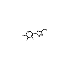 Cc1ccc(-n2cc(CF)nn2)c(C)c1F